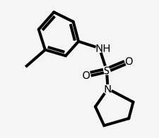 Cc1cccc(NS(=O)(=O)N2CCCC2)c1